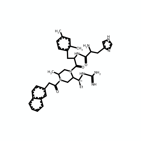 CC[C@H](NC(=N)N)C1CN(C(=O)Cc2ccc3ccccc3c2)C(C)CN1C(=O)C(Cc1ccc(C)cc1C)NC(=O)C(N)Cc1c[nH]cn1